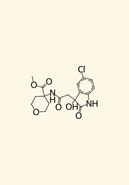 COC(=O)C1(NC(=O)CC2(O)C(=O)Nc3ccc(Cl)cc32)CCOCC1